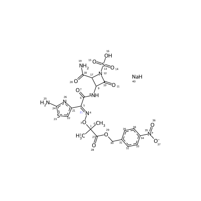 CC(C)(O/N=C(/C(=O)NC1C(=O)N(S(=O)(=O)O)C1C(N)=O)c1csc(N)n1)C(=O)OCc1ccc([N+](=O)[O-])cc1.[NaH]